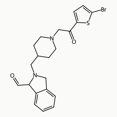 O=CC1c2ccccc2CN1CC1CCN(CC(=O)c2ccc(Br)s2)CC1